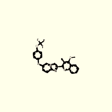 COc1c(C)c(-c2cn3cc(Oc4ccc(OC(F)(F)F)cc4)ccc3n2)nc2ccccc12